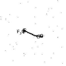 FC(F)(F)C(F)(F)C(F)(F)CCCCCCCCCCCCCCCCCOCCC1CCCO1